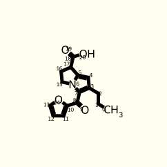 CCCc1cc2n(c1C(=O)c1ccco1)CCC2C(=O)O